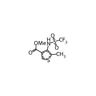 COC(=O)c1csc(C)c1NS(=O)(=O)C(F)(F)F